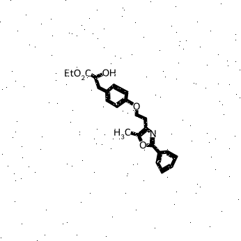 CCOC(=O)C(O)Cc1ccc(OCCc2nc(-c3ccccc3)oc2C)cc1